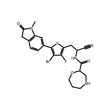 CN1C(=O)Cc2ccc(-c3sc(CC(C#N)NC(=O)C4CNCCCO4)c(F)c3Br)cc21